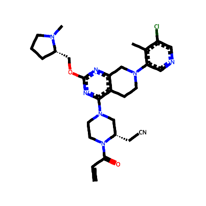 C=CC(=O)N1CCN(c2nc(OC[C@@H]3CCCN3C)nc3c2CCN(c2cncc(Cl)c2C)C3)C[C@@H]1CC#N